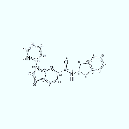 O=C(NC1Cc2ccccc2C1)c1ccc2ncn(-c3ccccn3)c2c1